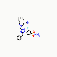 CCCCN(CCC#N)Cc1nc(Cc2ccccc2)n(-c2ccc(S(N)(=O)=O)cc2F)n1